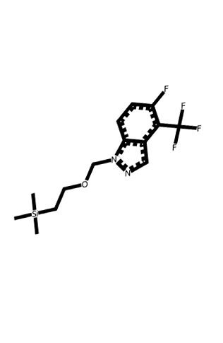 C[Si](C)(C)CCOCn1ncc2c(C(F)(F)F)c(F)ccc21